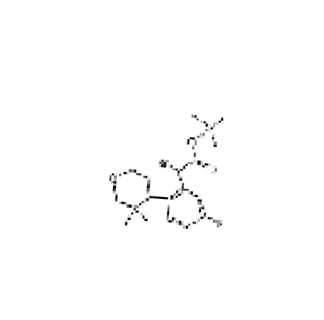 CC(C)(C)OC(=O)C(Br)c1cc(F)ccc1C1CCOCC1(C)C